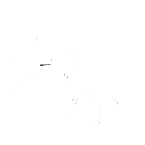 [CH2]C(N(C)O[SH](=O)=O)N1CCC[C@@H]1c1cc(F)ccc1F